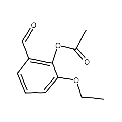 CCOc1cccc(C=O)c1OC(C)=O